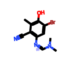 Cc1c(O)c(Br)cc(/N=C\N(C)C)c1C#N